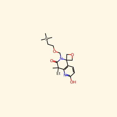 CCC1(C)C(=O)N(COCC[Si](C)(C)C)C2(COC2)c2ccc(O)nc21